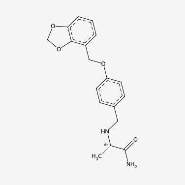 C[C@H](NCc1ccc(OCc2cccc3c2OCO3)cc1)C(N)=O